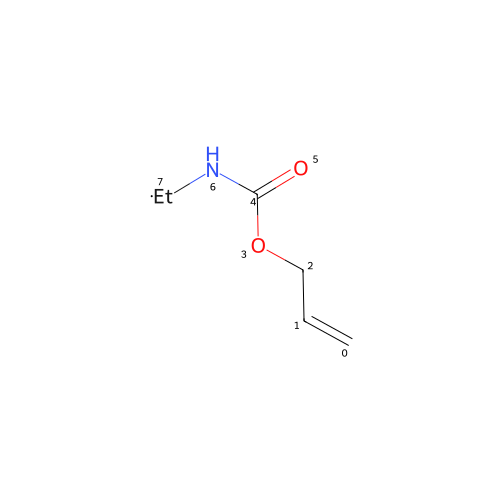 C=CCOC(=O)N[CH]C